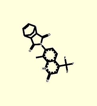 Cc1c(N2C(=O)C3C4C=CC(CC4)C3C2=O)ccc2c(C(F)(F)F)cc(=O)[nH]c12